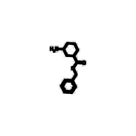 NC1CCCC(C(=O)OCc2ccccc2)C1